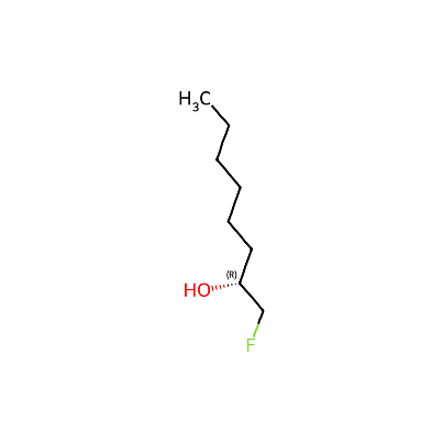 CCCCCC[C@@H](O)CF